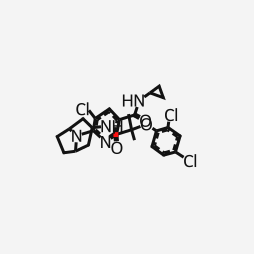 CC(C)(Oc1ccc(Cl)cc1Cl)C(=O)NC1CC2CCC(C1)N2c1ncc(C(=O)NC2CC2)cc1Cl